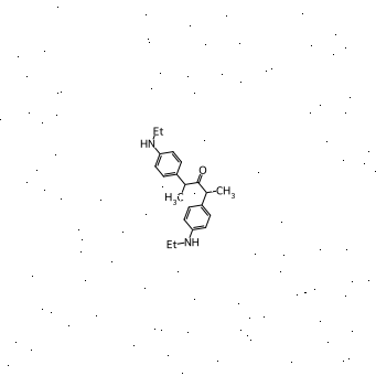 CCNc1ccc(C(C)C(=O)C(C)c2ccc(NCC)cc2)cc1